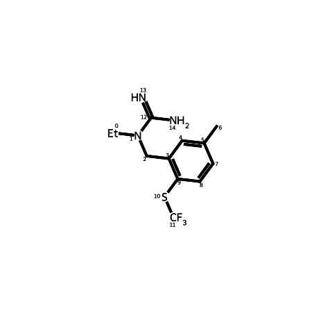 CCN(Cc1cc(C)ccc1SC(F)(F)F)C(=N)N